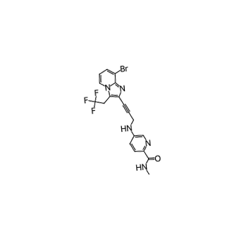 CNC(=O)c1ccc(NCC#Cc2nc3c(Br)cccn3c2CC(F)(F)F)cn1